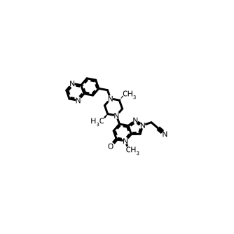 C[C@@H]1CN(c2cc(=O)n(C)c3cn(CC#N)nc23)[C@@H](C)CN1Cc1ccc2nccnc2c1